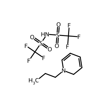 CCCN1C=CC=CC1.O=S(=O)(NS(=O)(=O)C(F)(F)F)C(F)(F)F